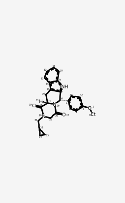 CCOc1ccc([C@H]2c3[nH]c4ccccc4c3C[C@H]3C(=O)N(CC4CC4)CC(=O)N23)cc1